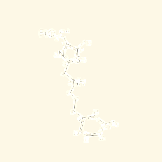 CCOC(=O)c1nc(CNCCCc2cccc(C)c2)sc1C